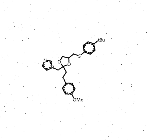 COc1ccc(CCC2(Cn3ccnc3)OCC(CSc3ccc(C(C)(C)C)cc3)O2)cc1